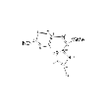 CSC(=Nc1ccc(C#N)cc1)c1nc(C)cs1